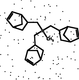 C[Si](CC1CC2C=CC1C2)(CC1CC2C=CC1C2)CC1CC2C=CC1C2